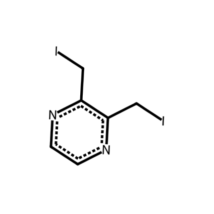 ICc1nccnc1CI